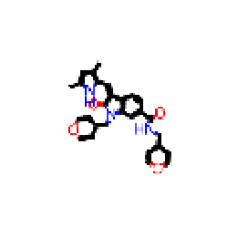 Cc1cc(C)c(/C=C2\C(=O)N(CC3CCOCC3)c3cc(C(=O)NCC4CCOCC4)ccc32)[nH]1